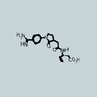 C=C[C@H](CC(=O)O)NC(=O)CC1CCN(c2ccc(C(=N)N)cc2)C1=O